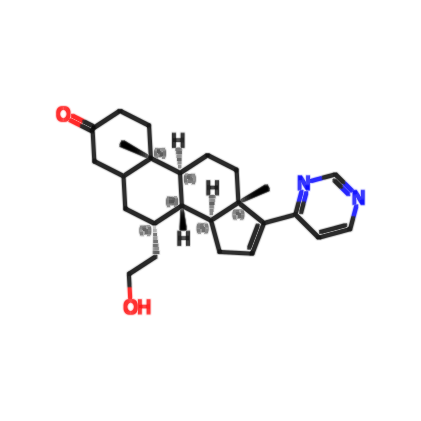 C[C@]12CCC(=O)CC1C[C@@H](CCO)[C@@H]1[C@@H]2CC[C@]2(C)C(c3ccncn3)=CC[C@@H]12